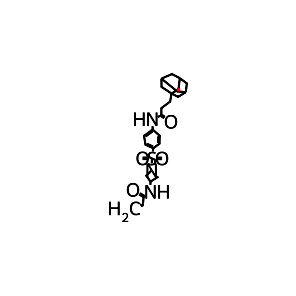 C=CC(=O)NC1CN(S(=O)(=O)c2ccc(NC(=O)CCC34CC5CC(CC(C5)C3)C4)cc2)C1